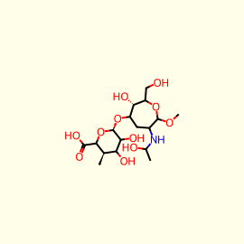 COC1OC(CO)[C@@H](O)C(O[C@@H]2OC(C(=O)O)[C@H](C)C(O)C2O)CC1NC(C)O